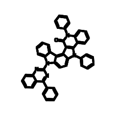 O=c1c2c3c4c5ccccc5n(-c5nc(-c6ccccc6)c6ccccc6n5)c4ccc3n(-c3ccccc3)c2c2ccccc2n1-c1ccccc1